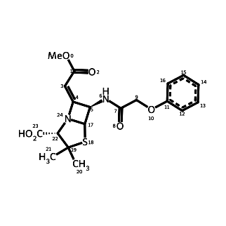 COC(=O)C=C1[C@@H](NC(=O)COc2ccccc2)C2SC(C)(C)[C@H](C(=O)O)N12